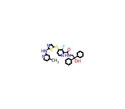 Cc1ccnc(Nc2ncc(Sc3ccnc(C(=O)NCC(O)(c4ccccc4)c4ccccc4)c3F)s2)c1